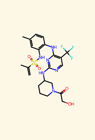 C=C(C)S(=O)(=O)Nc1cc(C)ccc1Nc1nc(NC2CCCN(C(=O)CO)C2)ncc1C(F)(F)F